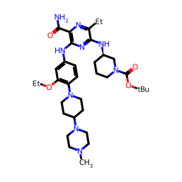 CCOc1cc(Nc2nc(N[C@@H]3CCCN(C(=O)OC(C)(C)C)C3)c(CC)nc2C(N)=O)ccc1N1CCC(N2CCN(C)CC2)CC1